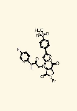 CC(C)N1Cc2c(n(CC(=O)Nc3ccc(F)cn3)c3cc(-c4ccc(S(C)(=O)=O)cc4)nn3c2=O)C1=O